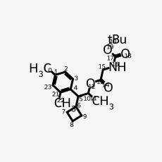 Cc1ccc(C(C2CCC2)C(C)OC(=O)CNC(=O)OC(C)(C)C)c(C)c1